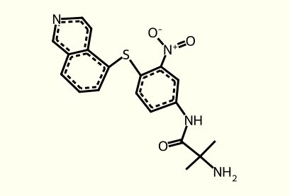 CC(C)(N)C(=O)Nc1ccc(Sc2cccc3cnccc23)c([N+](=O)[O-])c1